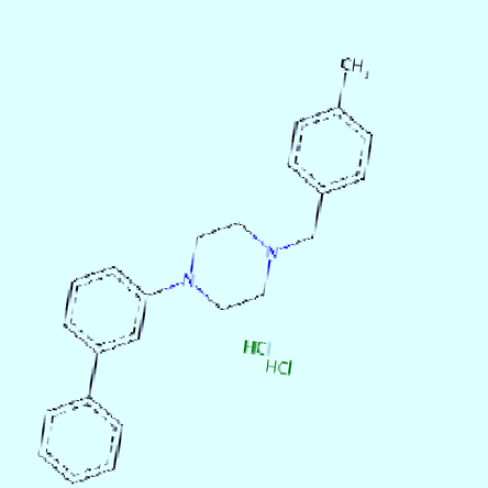 Cc1ccc(CN2CCN(c3cccc(-c4ccccc4)c3)CC2)cc1.Cl.Cl